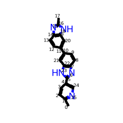 Cc1ccc(-c2nc3ccc(-c4ccc5nc(C)[nH]c5c4)cc3[nH]2)cn1